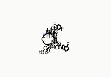 CC(C)(C)OC(=O)N[C@H]1CCCCC/C=C\[C@@H]2C[C@@]2(C(=O)NS(=O)(=O)c2cc(F)ccc2F)NC(=O)[C@@H]2C[C@@H](OC(=O)N3Cc4cccc(F)c4C3)CN2C1=O